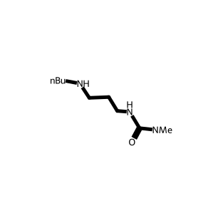 CCCCNCCCNC(=O)NC